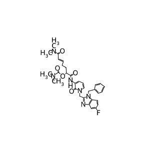 CN(C)C(=O)/C=C/CCC(OC(=O)N(C)C)C(=O)Nc1cccn(Cc2nc3cc(F)ccc3n2Cc2ccccc2)c1=O